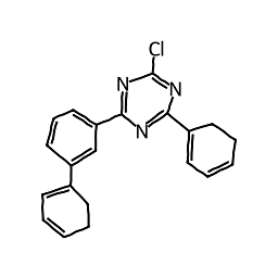 Clc1nc(C2=CC=CCC2)nc(-c2cccc(C3=CC=CCC3)c2)n1